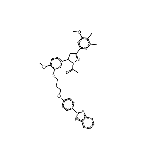 COc1ccc(C2CC(c3cc(C)c(C)c(OC)c3)=NN2C(C)=O)cc1OCCCOc1ccc(-c2nc3ccccc3s2)cc1